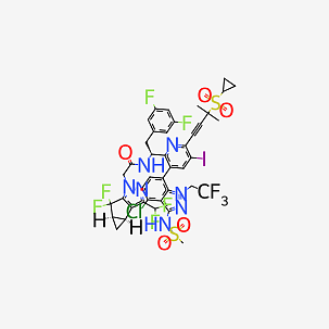 CC(C)(C#Cc1nc([C@H](Cc2cc(F)cc(F)c2)NC(=O)Cn2nc(C(F)F)c3c2C(F)(F)[C@@H]2C[C@H]32)c(-c2ccc(Cl)c3c(NS(C)(=O)=O)nn(CC(F)(F)F)c23)cc1I)S(=O)(=O)C1CC1